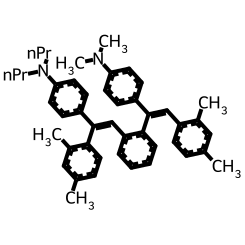 CCCN(CCC)c1ccc(C(=Cc2ccccc2C(=Cc2ccc(C)cc2C)c2ccc(N(C)C)cc2)c2ccc(C)cc2C)cc1